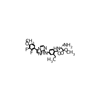 CCc1cc(Nc2nccn3c(-c4ccc(OC)c(F)c4F)cnc23)ccc1C(=O)N[C@H](CN)C(=O)OC